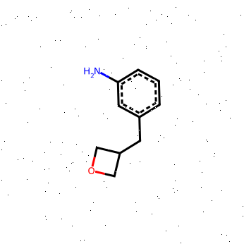 Nc1cccc(CC2COC2)c1